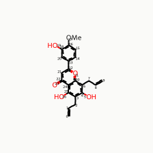 C=CCc1c(O)c(CC=C)c2oc(-c3ccc(OC)c(O)c3)cc(=O)c2c1O